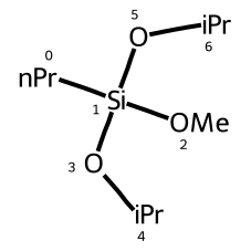 CCC[Si](OC)(OC(C)C)OC(C)C